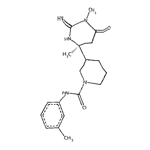 Cc1cccc(NC(=O)N2CCCC([C@]3(C)CC(=O)N(C)C(=N)N3)C2)c1